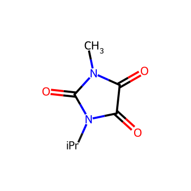 CC(C)N1C(=O)C(=O)N(C)C1=O